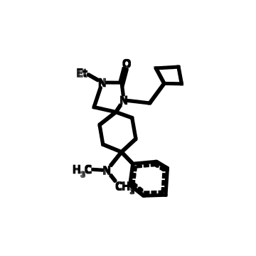 CCN1CC2(CCC(c3ccccc3)(N(C)C)CC2)N(CC2CCC2)C1=O